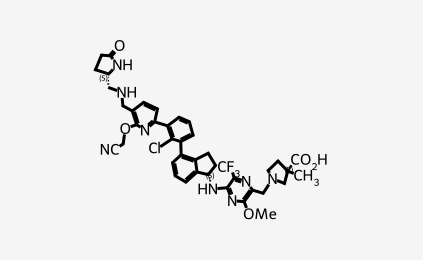 COc1nc(N[C@H]2CCc3c(-c4cccc(-c5ccc(CNC[C@@H]6CCC(=O)N6)c(OCC#N)n5)c4Cl)cccc32)c(C(F)(F)F)nc1CN1CC[C@@](C)(C(=O)O)C1